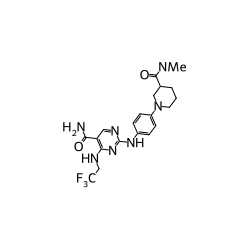 CNC(=O)C1CCCN(c2ccc(Nc3ncc(C(N)=O)c(NCC(F)(F)F)n3)cc2)C1